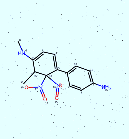 CNC1=CC=C(c2ccc(N)cc2)C([N+](=O)[O-])([N+](=O)[O-])C1C